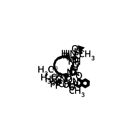 CC[C@@H]1C[C@@H](C)CCC=C[C@@H]2C[C@@]2(C(=O)NS(=O)(=O)C2(C)CC2)NC(=O)[C@@H]2C[C@@H](Oc3nc(OC)cc4ccccc34)CN2C(=O)[C@H]1N(C(=O)O)C(C)(C)C(F)(F)F